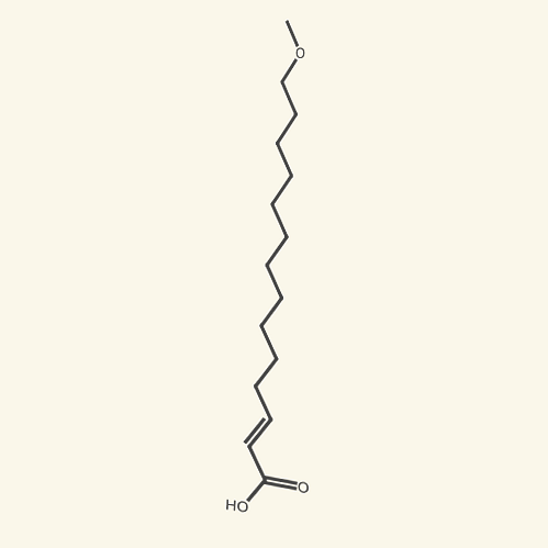 COCCCCCCCCCCCC=CC(=O)O